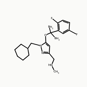 BC(B)(Oc1cc(CNC)nn1CC1CCCCC1)c1cc(F)ccc1F